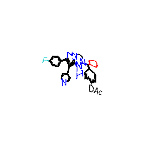 CC(=O)Oc1ccc(C(=O)N2CCn3nc(-c4ccc(F)cc4)c(-c4ccncc4)c3N2)cc1